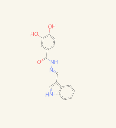 O=C(N/N=C/c1c[nH]c2ccccc12)c1ccc(O)c(O)c1